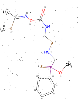 COP(=S)(CNSCNC(=O)ON=C(C)SC)c1ccccc1